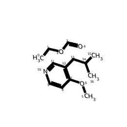 CCOC=O.COc1ccncc1CC(C)C